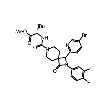 CCC(C)[C@H](NC(=O)N1CCC2(CC1)C(=O)N(c1ccc(F)c(Cl)c1)C2c1ccc(Br)cn1)C(=O)OC